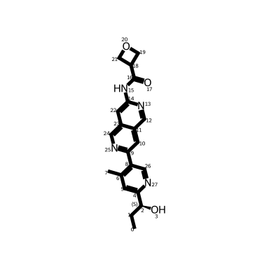 CC[C@H](O)c1cc(C)c(-c2cc3cnc(NC(=O)C4COC4)cc3cn2)cn1